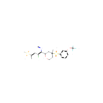 C=N/C(=C(Cl)\C=C(/C)S(C)(=O)=O)C1CC(C)(S(=O)(=O)c2cccc(OC(F)(F)F)c2)CCO1